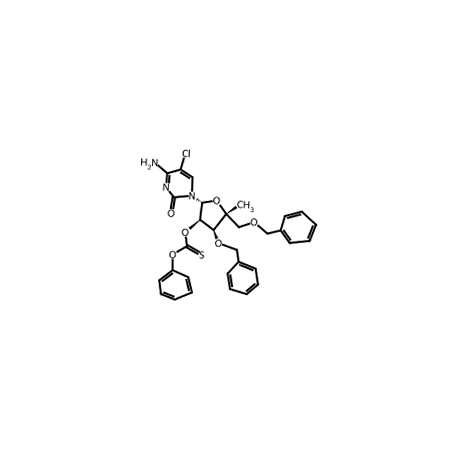 C[C@]1(COCc2ccccc2)O[C@@H](n2cc(Cl)c(N)nc2=O)[C@H](OC(=S)Oc2ccccc2)[C@@H]1OCc1ccccc1